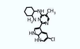 Cc1cnc(C2=CNC3NC=C(Cl)C=C23)nc1NC1CCCCC1N